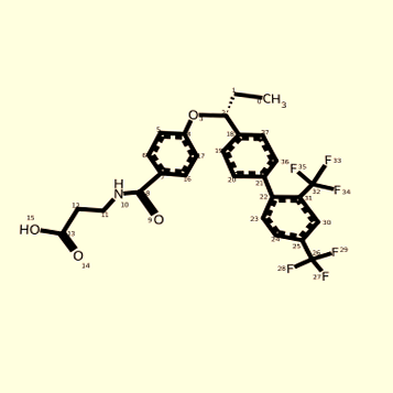 CC[C@@H](Oc1ccc(C(=O)NCCC(=O)O)cc1)c1ccc(-c2ccc(C(F)(F)F)cc2C(F)(F)F)cc1